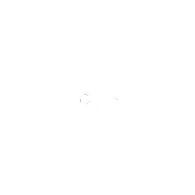 CCCOc1ccc(CCCC[N+]2(CC)CCCCCC2)cc1.[Cl-]